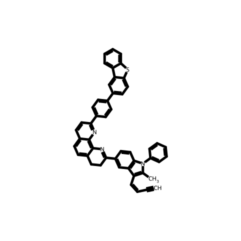 C#C/C=C\c1c(C)n(-c2ccccc2)c2ccc(C3=Nc4c(ccc5ccc(-c6ccc(-c7ccc8sc9ccccc9c8c7)cc6)nc45)CC3)cc12